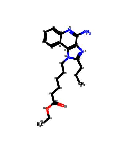 CCCc1nc2c(N)nc3ccccc3c2n1CCCCCC(=O)OCC